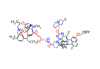 CCOC(=O)CC(c1ccc(C)c(CN2C[C@@H](C)Oc3ccccc3S2(=O)=O)c1)c1cc(OCCOCCNC(=O)C2CCCN(c3nc(OC[C@]45CCCN4C[C@@H](F)C5)nc4c(F)c(-c5cc(OCOC)cc6ccc(F)c(C#C[Si](C(C)C)(C(C)C)C(C)C)c56)ncc34)C2)c2c(c1)nnn2C